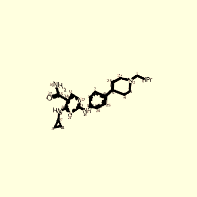 CC(C)CN1CCC(c2ccc(Nc3ncc(C(N)=O)c(NC4CC4)n3)cc2)CC1